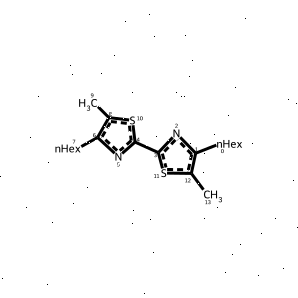 CCCCCCc1nc(-c2nc(CCCCCC)c(C)s2)sc1C